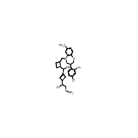 CCCc1cc(Cl)ccc1C1COc2ccc(C(=O)O)cc2N(CC2CCC2C(OC)C2=CC(C(CC)CSN)C2)C1